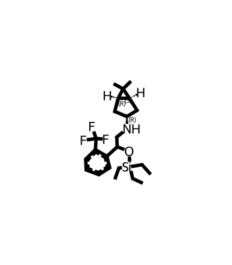 CC[Si](CC)(CC)OC(CN[C@H]1C[C@@H]2[C@H](C1)C2(C)C)c1ccccc1C(F)(F)F